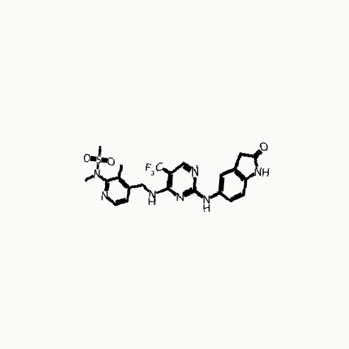 Cc1c(CNc2nc(Nc3ccc4c(c3)CC(=O)N4)ncc2C(F)(F)F)ccnc1N(C)S(C)(=O)=O